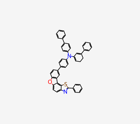 C1=C(c2ccccc2)CCC=C1N(c1ccc(-c2ccccc2)cc1)c1ccc(-c2ccc3oc4ccc5nc(-c6ccccc6)sc5c4c3c2)cc1